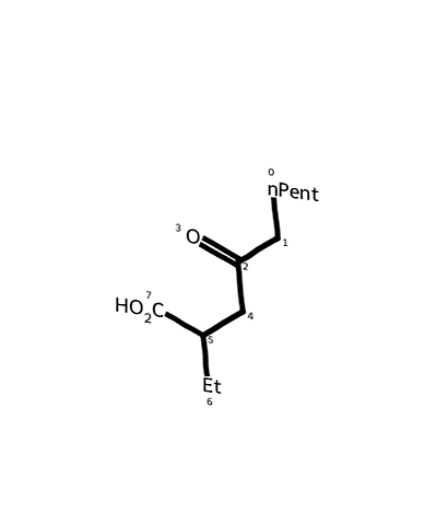 CCCCCCC(=O)CC(CC)C(=O)O